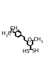 CC1=CC(=C(S)S)C=C(C=Cc2ccc(N(C)C)cc2)O1